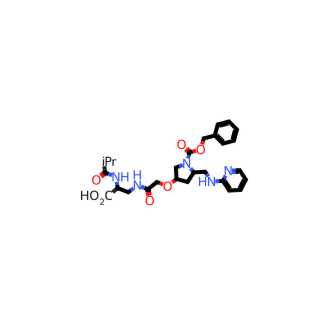 CC(C)C(=O)NC(CNC(=O)COC1CC(CNc2ccccn2)N(C(=O)OCc2ccccc2)C1)C(=O)O